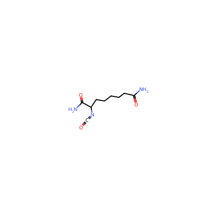 NC(=O)CCCCCC(N=C=O)C(N)=O